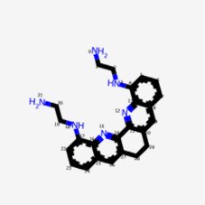 NCCNc1cccc2cc3c(nc12)-c1nc2c(NCCN)cccc2cc1CC3